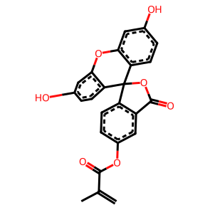 C=C(C)C(=O)Oc1ccc2c(c1)C(=O)OC21c2ccc(O)cc2Oc2cc(O)ccc21